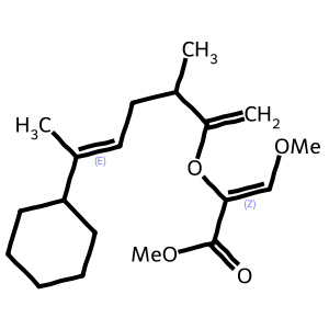 C=C(O/C(=C\OC)C(=O)OC)C(C)C/C=C(\C)C1CCCCC1